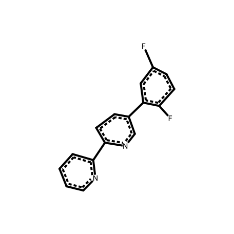 Fc1ccc(F)c(-c2ccc(-c3ccccn3)nc2)c1